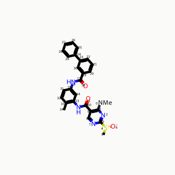 CNc1nc([S+](C)[O-])ncc1C(=O)Nc1cc(NC(=O)c2cccc(-c3ccccc3)c2)ccc1C